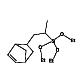 CCO[Si](OCC)(OCC)C(C)CC1CC2C=CC1C2